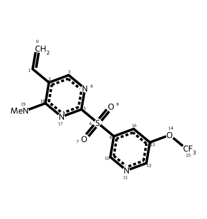 C=Cc1cnc(S(=O)(=O)c2cncc(OC(F)(F)F)c2)nc1NC